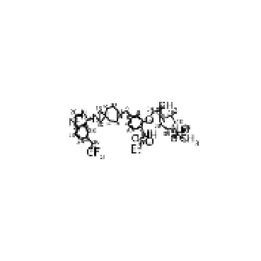 CCS(=O)(=O)Nc1ccc(CN2CCC3(CC2)CN(c2ncnc4ccc(CC(F)(F)F)cc24)C3)cc1OC[C@@H](C)N1CCN(S(C)(=O)=O)CC1